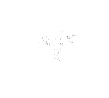 O=C(N[C@H](c1ccc(S(=O)(=O)CC2CC2)cc1)[C@@H]1C[C@@H](O)CN1)c1cccc(C(F)(F)F)c1Cl.O=C(O)C(F)(F)F